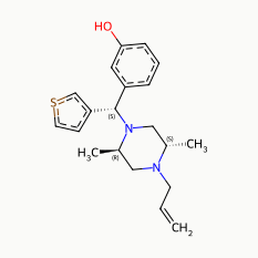 C=CCN1C[C@@H](C)N([C@H](c2ccsc2)c2cccc(O)c2)C[C@@H]1C